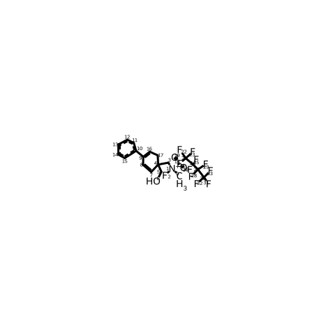 C[N+](F)(CC1(CO)C=CC(c2ccccc2)=CC1)S(=O)(=O)C(F)(F)C(F)(F)C(F)(F)C(F)(F)F